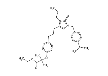 CCCn1c(CCCc2ccc(OC(C)(C)C(=O)OCC)cc2)cn(Cc2ccc(C(C)C)cc2)c1=O